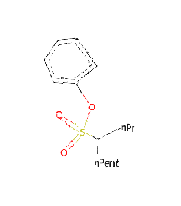 CCCCCC(CCC)S(=O)(=O)Oc1ccccc1